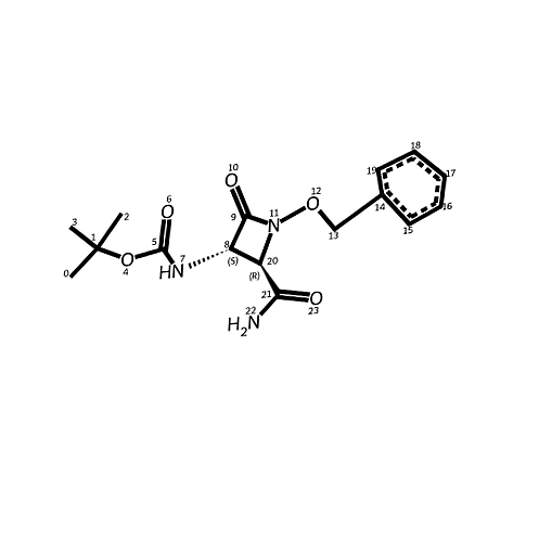 CC(C)(C)OC(=O)N[C@@H]1C(=O)N(OCc2ccccc2)[C@H]1C(N)=O